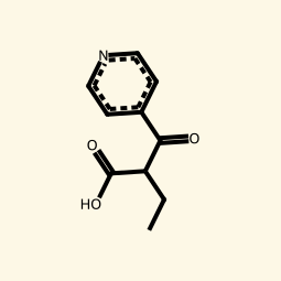 CCC(C(=O)O)C(=O)c1ccncc1